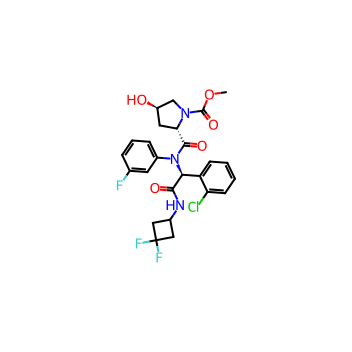 COC(=O)N1C[C@H](O)C[C@H]1C(=O)N(c1cccc(F)c1)[C@H](C(=O)NC1CC(F)(F)C1)c1ccccc1Cl